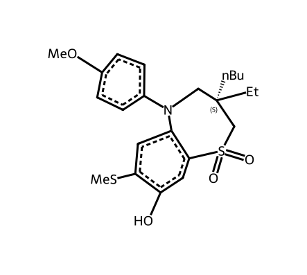 CCCC[C@@]1(CC)CN(c2ccc(OC)cc2)c2cc(SC)c(O)cc2S(=O)(=O)C1